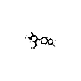 Cc1nc(N2CCC3(CC2)CO[C@@H](C)C3)c(CO)nc1Br